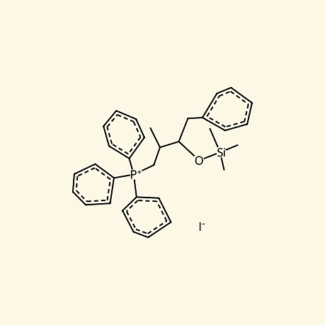 CC(C[P+](c1ccccc1)(c1ccccc1)c1ccccc1)C(Cc1ccccc1)O[Si](C)(C)C.[I-]